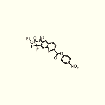 CCOP(=O)(OCC)C(F)(F)c1ccc2ccc(C(=O)Oc3ccc([N+](=O)[O-])cc3)nc2c1